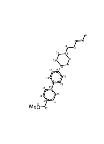 CC=CCC[C@H]1CC[C@H](c2ccc(-c3ccc(COC)cc3)cc2)CC1